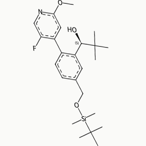 COc1cc(-c2ccc(CO[Si](C)(C)C(C)(C)C)cc2[C@@H](O)C(C)(C)C)c(F)cn1